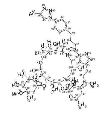 CC[C@H]1OC(=O)[C@H](C)[C@@H](O[C@H]2C[C@@](C)(OC)[C@@H](O)[C@H](C)O2)[C@H](C)[C@@H](O[C@@H]2O[C@H](C)C[C@H](N(C)CCc3cn(CCCCc4ccc(-n5cc(C(C)=O)nn5)cc4)nn3)[C@H]2O)[C@](C)(O)C[C@@H](C)CN(C)[C@H](C)[C@@H](O)[C@]1(C)O